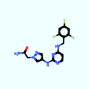 NC(=O)Cn1cc(Nc2nccc(NCc3c(F)cc(F)cc3F)n2)cn1